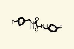 O=C(NCc1ccc(F)cc1)C(=O)NCc1ccc(F)cc1